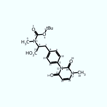 CN(C(=O)OC(C)(C)C)C(Cc1ccc(-n2c(=O)ccn(C)c2=O)cc1)C(=O)O